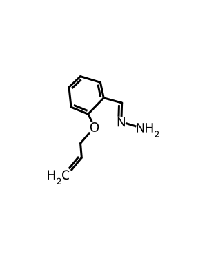 C=CCOc1ccccc1C=NN